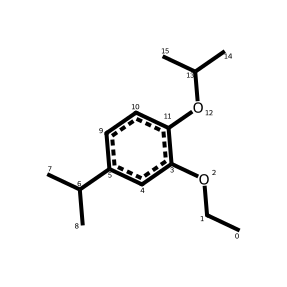 CCOc1cc(C(C)C)ccc1OC(C)C